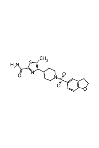 Cc1sc(C(N)=O)nc1C1CCN(S(=O)(=O)c2ccc3c(c2)CCO3)CC1